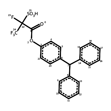 O=C(Oc1ccc(C(c2ccccc2)c2ccccc2)cc1)C(F)(C(F)(F)F)S(=O)(=O)O